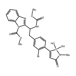 CC(C)(C)OC(=O)NC(Cc1ccc(C2=CC(=O)N(C(C)(C)C)S2(O)O)c(Br)c1)c1nc2ccccc2n1C(=O)OC(C)(C)C